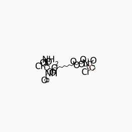 CC(C(=O)c1cccc(Cl)c1)N(C(=O)OCOC(=O)CCCCCCCOC(=O)c1cc(S(N)(=O)=O)c(Cl)cc1NCc1ccco1)C(C)(C)C